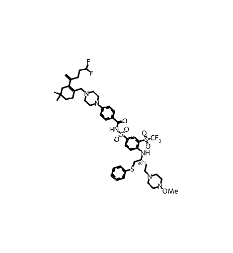 C=C(CCC(F)F)C1=C(CN2CCN(c3ccc(C(=O)NS(=O)(=O)c4ccc(N[C@H](CCN5CCN(OC)CC5)CSc5ccccc5)c(S(=O)(=O)C(F)(F)F)c4)cc3)CC2)CCC(C)(C)C1